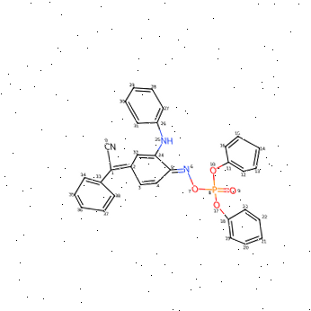 N#CC(=C1C=CC(=NOP(=O)(Oc2ccccc2)Oc2ccccc2)C(Nc2ccccc2)=C1)c1ccccc1